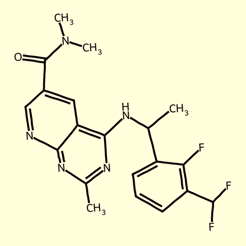 Cc1nc(NC(C)c2cccc(C(F)F)c2F)c2cc(C(=O)N(C)C)cnc2n1